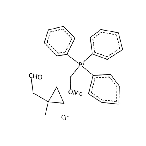 CC1(CC=O)CC1.COC[P+](c1ccccc1)(c1ccccc1)c1ccccc1.[Cl-]